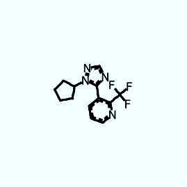 FC(F)(F)c1ncccc1-c1ncnn1C1CCCC1